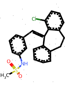 CS(=O)(=O)Nc1cccc(/C=C2\c3ccccc3CCc3cccc(Cl)c32)c1